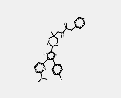 CN(C)c1nccc(-c2[nH]c(C3OCC(C)(CNC(=O)Cc4ccccc4)CO3)nc2-c2ccc(F)cc2)n1